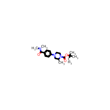 C[C@H]1CN(c2ccc(C(=O)N(C)C)cc2)CCN1C(=O)OC(C)(C)C